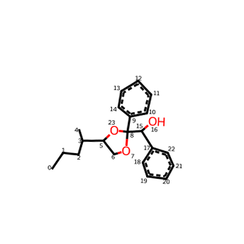 CCCC(C)C1COC(c2ccccc2)(C(O)c2ccccc2)O1